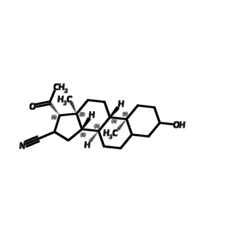 CC(=O)[C@H]1C(C#N)C[C@H]2[C@@H]3CCC4CC(O)CC[C@]4(C)[C@H]3CC[C@]12C